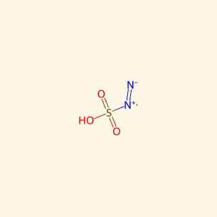 [N-]=[N+]S(=O)(=O)O